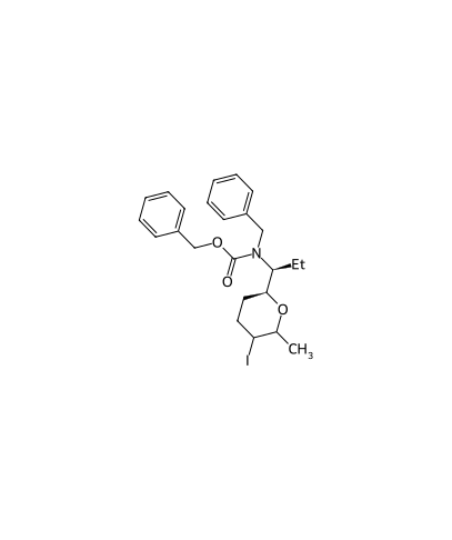 CC[C@@H]([C@@H]1CCC(I)C(C)O1)N(Cc1ccccc1)C(=O)OCc1ccccc1